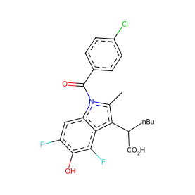 CCCCC(C(=O)O)c1c(C)n(C(=O)c2ccc(Cl)cc2)c2cc(F)c(O)c(F)c12